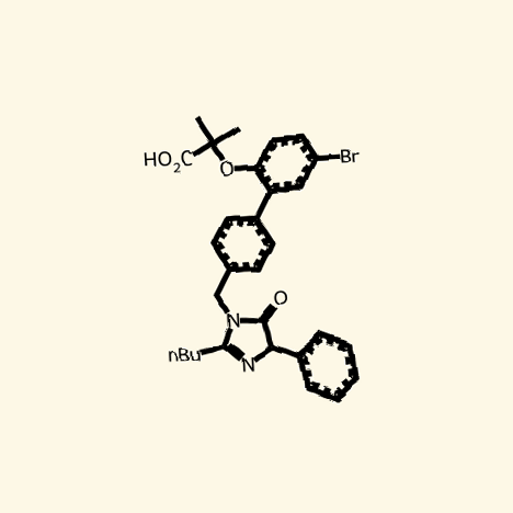 CCCCC1=NC(c2ccccc2)C(=O)N1Cc1ccc(-c2cc(Br)ccc2OC(C)(C)C(=O)O)cc1